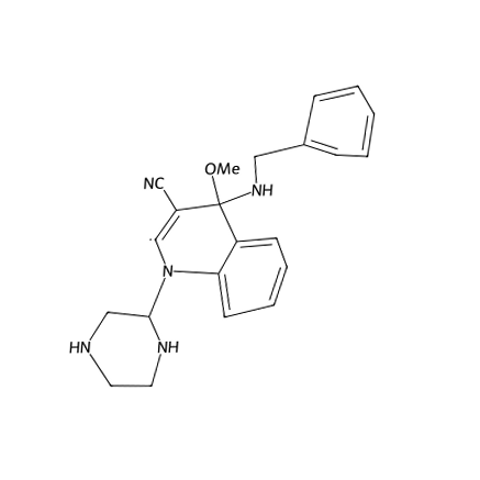 COC1(NCc2ccccc2)C(C#N)=[C]N(C2CNCCN2)c2ccccc21